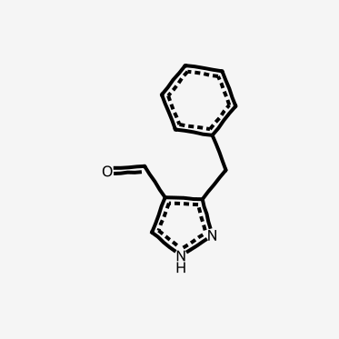 O=Cc1c[nH]nc1Cc1ccccc1